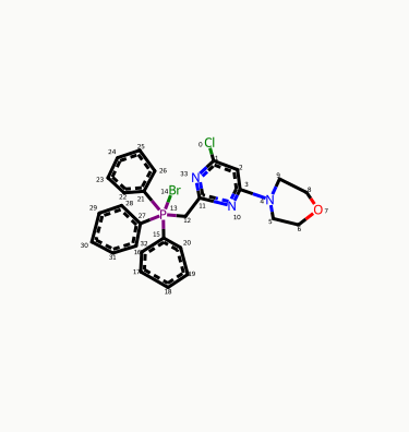 Clc1cc(N2CCOCC2)nc(CP(Br)(c2ccccc2)(c2ccccc2)c2ccccc2)n1